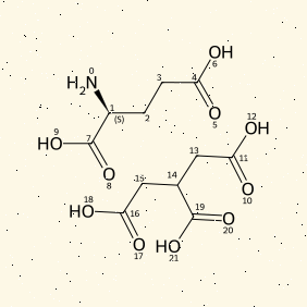 N[C@@H](CCC(=O)O)C(=O)O.O=C(O)CC(CC(=O)O)C(=O)O